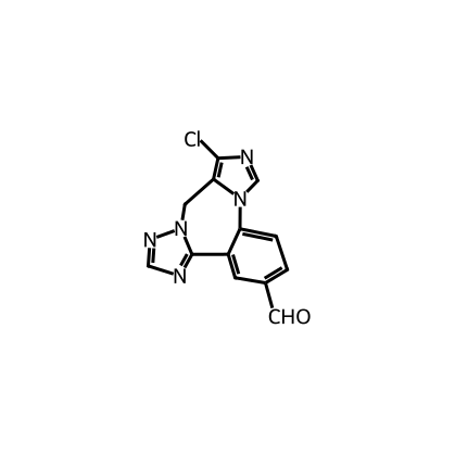 O=Cc1ccc2c(c1)-c1ncnn1Cc1c(Cl)ncn1-2